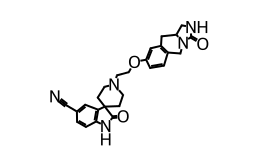 N#Cc1ccc2c(c1)C1(CCN(CCOc3ccc4c(c3)CC3CNC(=O)N3C4)CC1)C(=O)N2